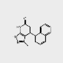 Cc1n[nH]c2c1C(c1cccc3ccccc13)CC(=O)N2